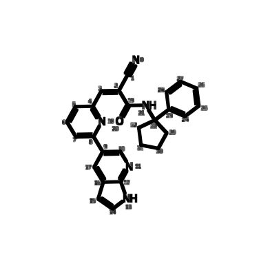 N#CC(=Cc1cccc(-c2cnc3[nH]ccc3c2)n1)C(=O)NC1(c2ccccc2)CCCC1